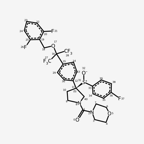 O=C(N1CCOCC1)N1CC[C@@](c2ccc(C(OCc3c(F)cccc3F)(C(F)(F)F)C(F)(F)F)cc2)([S+]([O-])c2ccc(F)cc2)C1